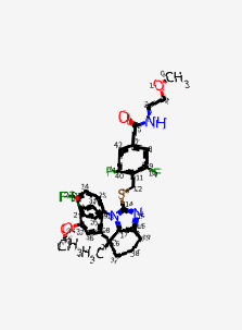 COCCNC(=O)c1cc(F)c(CSc2nc3c(n2-c2ccc(F)cc2)C(C)(c2ccc(F)c(OC)c2)CCC3)c(F)c1